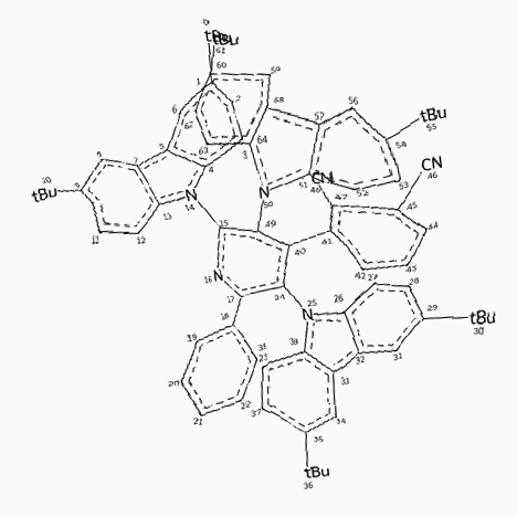 CC(C)(C)c1ccc2c(c1)c1cc(C(C)(C)C)ccc1n2-c1nc(-c2ccccc2)c(-n2c3ccc(C(C)(C)C)cc3c3cc(C(C)(C)C)ccc32)c(-c2cccc(C#N)c2C#N)c1-n1c2ccc(C(C)(C)C)cc2c2cc(C(C)(C)C)ccc21